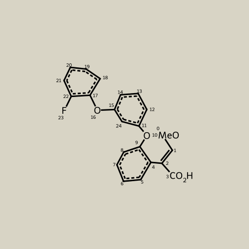 CO/C=C(/C(=O)O)c1ccccc1Oc1cccc(Oc2ccccc2F)c1